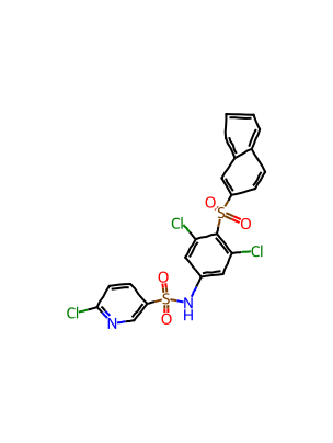 O=S(=O)(Nc1cc(Cl)c(S(=O)(=O)c2ccc3ccccc3c2)c(Cl)c1)c1ccc(Cl)nc1